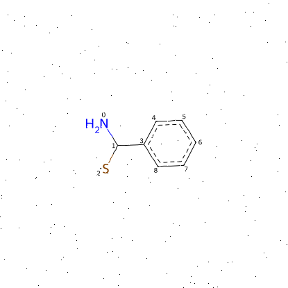 NC([S])c1ccccc1